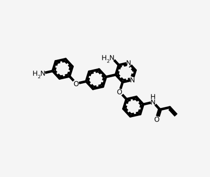 C=CC(=O)Nc1cccc(Oc2ncnc(N)c2-c2ccc(Oc3cccc(N)c3)cc2)c1